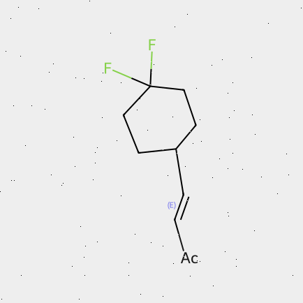 CC(=O)/C=C/C1CCC(F)(F)CC1